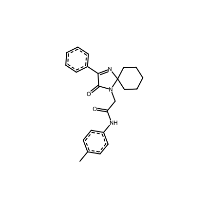 Cc1ccc(NC(=O)CN2C(=O)C(c3ccccc3)=NC23CCCCC3)cc1